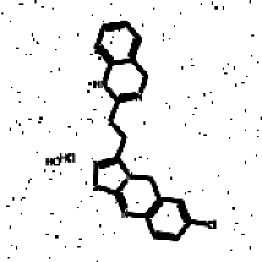 Cl.Cl.Clc1ccc2c(c1)CN1C(CSC3=NCc4ccccc4N3)=CSC1=N2